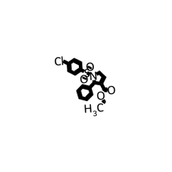 CCOC(=O)C1=CCN(S(=O)(=O)c2ccc(Cl)cc2)C1c1ccccc1